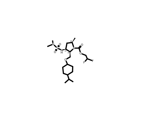 CC(C)C1CCC(OC[C@H]2[C@@H](NS(=O)(=O)N(C)C)C[C@@H](C)N2C(=O)OCC(F)F)CC1